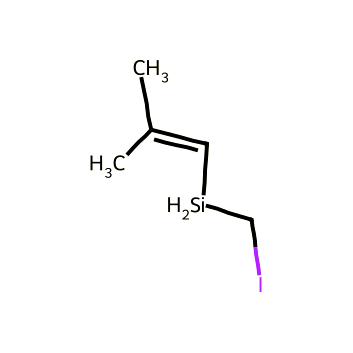 CC(C)=C[SiH2]CI